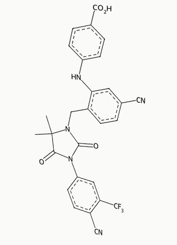 CC1(C)C(=O)N(c2ccc(C#N)c(C(F)(F)F)c2)C(=O)N1Cc1ccc(C#N)cc1Nc1ccc(C(=O)O)cc1